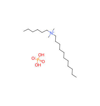 CCCCCCCCCCC[N+](C)(C)CCCCCC.O=P([O-])(O)O